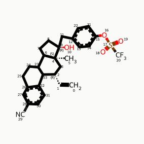 C=C[C@H]1C[C@@]2(C)C(CC[C@@]2(O)Cc2ccc(OS(=O)(=O)C(F)(F)F)cc2)C2CCc3cc(C#N)ccc3C21